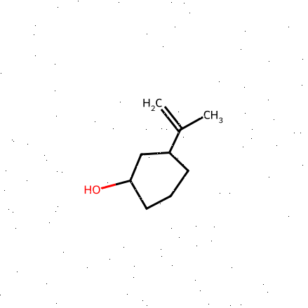 C=C(C)C1CCCC(O)C1